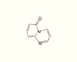 O=c1cccc2ncccn12